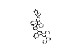 c1ccc2c(c1)-c1cc3oc4ccccc4c3cc1C21c2cc(-c3cc4c5ccccc5c(-c5cccc6ccccc56)cc4c4ccccc34)ccc2-c2ncccc21